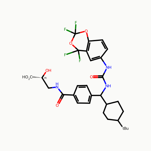 CC(C)(C)C1CCC(C(NC(=O)Nc2ccc3c(c2)C(F)(F)OC(F)(F)O3)c2ccc(C(=O)NC[C@@H](O)C(=O)O)cc2)CC1